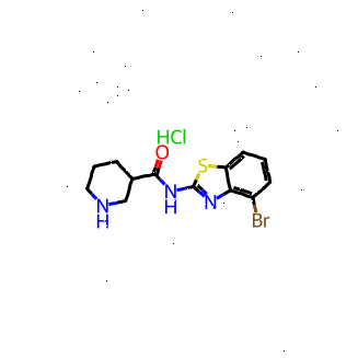 Cl.O=C(Nc1nc2c(Br)cccc2s1)C1CCCNC1